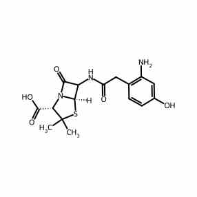 CC1(C)S[C@@H]2C(NC(=O)Cc3ccc(O)cc3N)C(=O)N2[C@H]1C(=O)O